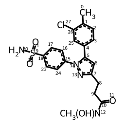 Cc1ccc(-c2cc(CCC(=O)N(C)O)nn2-c2ccc(S(N)(=O)=O)cc2)cc1Cl